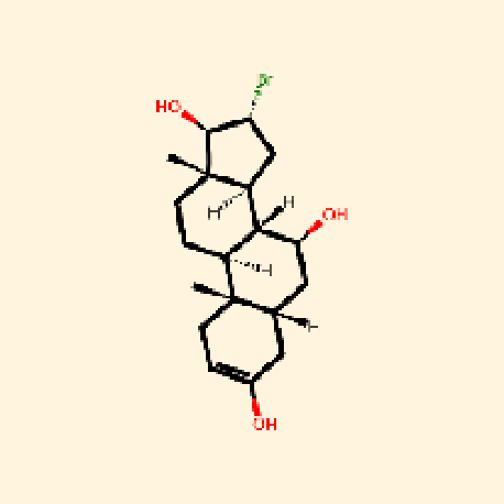 C[C@]12CC=C(O)C[C@H]1C[C@H](O)[C@@H]1[C@@H]2CC[C@]2(C)[C@@H](O)[C@H](Br)C[C@@H]12